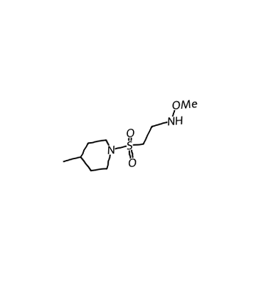 CONCCS(=O)(=O)N1CCC(C)CC1